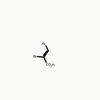 CC(=O)/C=C(\Br)C(=O)O